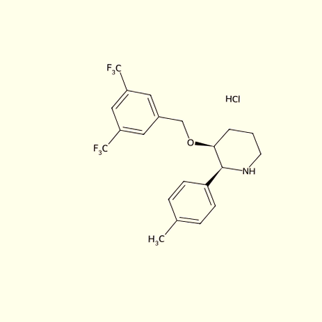 Cc1ccc([C@@H]2NCCC[C@@H]2OCc2cc(C(F)(F)F)cc(C(F)(F)F)c2)cc1.Cl